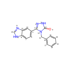 O=c1[nH]nc(-c2ccc3[nH]cnc3c2)n1Cc1ccccc1